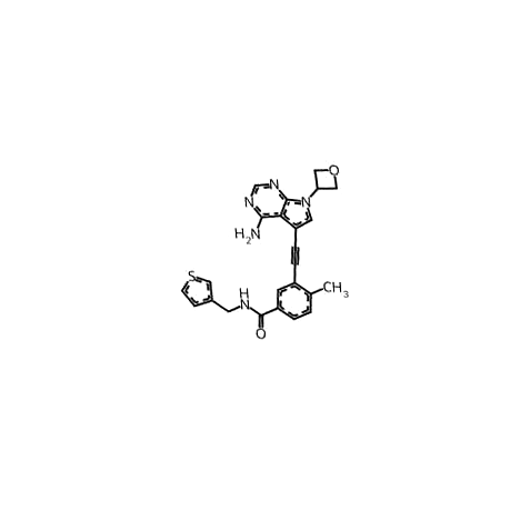 Cc1ccc(C(=O)NCc2ccsc2)cc1C#Cc1cn(C2COC2)c2ncnc(N)c12